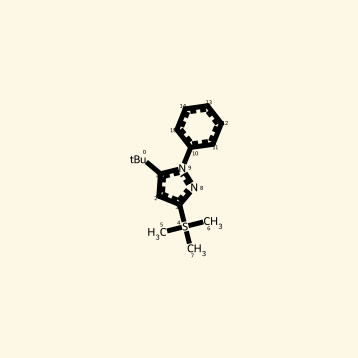 CC(C)(C)c1cc(S(C)(C)C)nn1-c1ccccc1